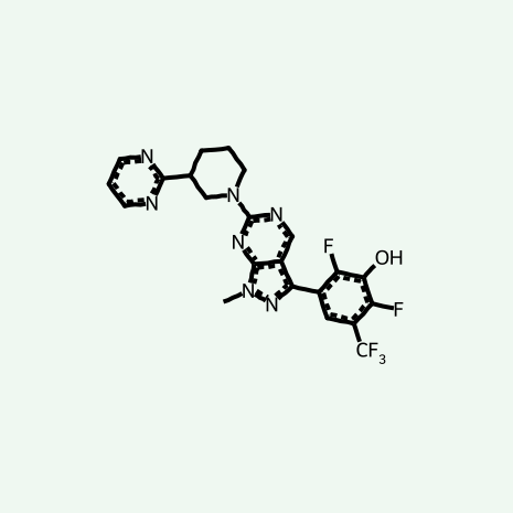 Cn1nc(-c2cc(C(F)(F)F)c(F)c(O)c2F)c2cnc(N3CCCC(c4ncccn4)C3)nc21